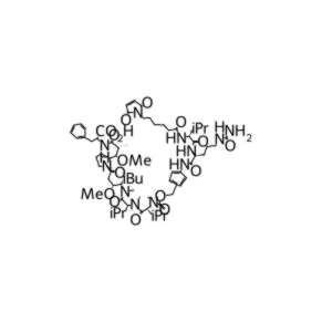 CC[C@H](C)[C@@H]([C@@H](CC(=O)N1CCC[C@H]1[C@H](OC)[C@@H](C)C(=O)N[C@@H](Cc1ccccc1)C(=O)O)OC)N(C)C(=O)[C@H](C(C)C)N(C)C(=O)[C@H](C(C)C)N(C)C(=O)OCc1ccc(NC(=O)[C@H](CCCNC(N)=O)NC(=O)[C@@H](NC(=O)CCCCCN2C(=O)C=CC2=O)C(C)C)cc1